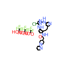 O=C(CC1CCN(c2ccccn2)CC1)Nc1ccc2cc1CCc1cncc(c1)Nc1ncc(Cl)c(n1)N2.O=C(O)C(F)(F)F.O=C(O)C(F)(F)F.O=C(O)C(F)(F)F